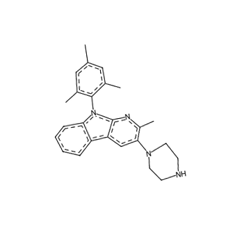 Cc1cc(C)c(-n2c3ccccc3c3cc(N4CCNCC4)c(C)nc32)c(C)c1